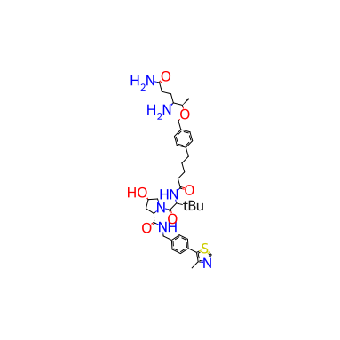 Cc1ncsc1-c1ccc(CNC(=O)[C@@H]2C[C@@H](O)CN2C(=O)C(NC(=O)CCCCc2ccc(CO[C@H](C)[C@@H](N)CCC(N)=O)cc2)C(C)(C)C)cc1